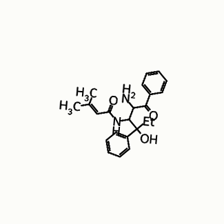 CCC(O)(c1ccccc1)C(NC(=O)C=C(C)C)C(N)C(=O)c1ccccc1